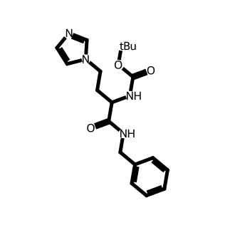 CC(C)(C)OC(=O)NC(CCn1ccnc1)C(=O)NCc1ccccc1